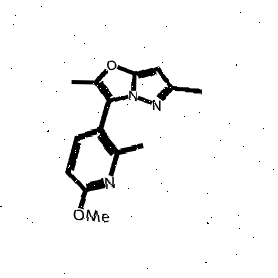 COc1ccc(-c2c(C)oc3cc(C)nn23)c(C)n1